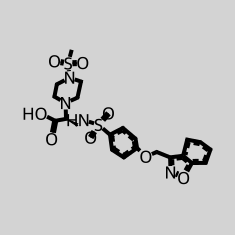 CS(=O)(=O)N1CCN([C@@H](CNS(=O)(=O)c2ccc(OCc3noc4ccccc34)cc2)C(=O)O)CC1